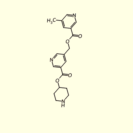 Cc1cncc(C(=O)OCc2cncc(C(=O)OC3CCNCC3)c2)c1